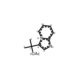 CC(=O)OC(C)(C)c1cnc2ccccn12